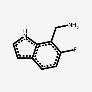 NCc1c(F)ccc2cc[nH]c12